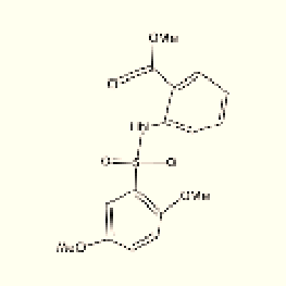 COC(=O)c1ccccc1NS(=O)(=O)c1cc(OC)ccc1OC